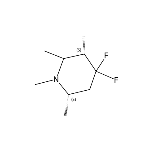 CC1[C@H](C)C(F)(F)C[C@H](C)N1C